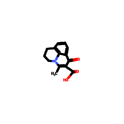 Cc1c(C(=O)O)c(=O)c2cccc3c2n1CCC3